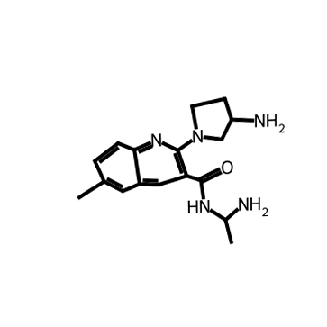 Cc1ccc2nc(N3CCC(N)C3)c(C(=O)NC(C)N)cc2c1